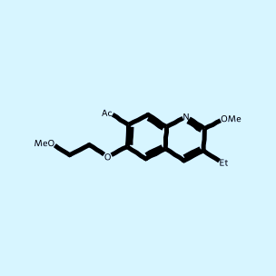 CCc1cc2cc(OCCOC)c(C(C)=O)cc2nc1OC